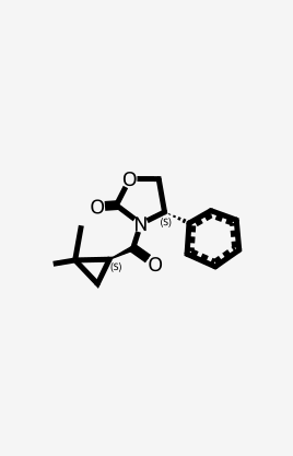 CC1(C)C[C@@H]1C(=O)N1C(=O)OC[C@@H]1c1ccccc1